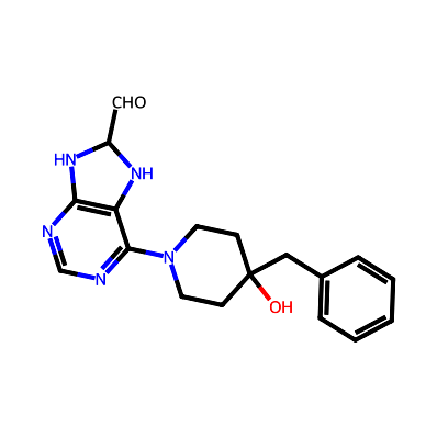 O=CC1Nc2ncnc(N3CCC(O)(Cc4ccccc4)CC3)c2N1